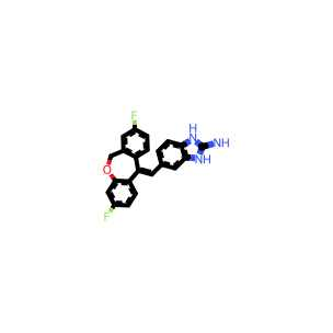 N=c1[nH]c2ccc(/C=C3\c4ccc(F)cc4COc4cc(F)ccc43)cc2[nH]1